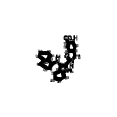 C[C@H](NC(=O)c1c(Nc2cccc3ccccc23)c2ccccc2n1C)c1ccc(C(=O)O)cc1